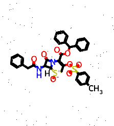 Cc1ccc(S(=O)(=O)OC2=C(C(=O)OC(c3ccccc3)c3ccccc3)N3C(=O)C(NC(=O)Cc4ccccc4)[C@@H]3[S+]([O-])C2)cc1